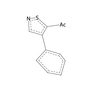 CC(=O)c1sncc1-c1ccccc1